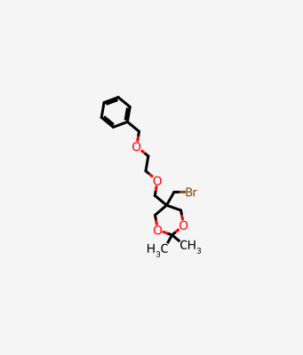 CC1(C)OCC(CBr)(COCCOCc2ccccc2)CO1